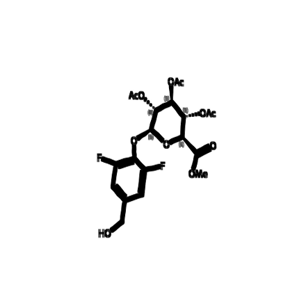 COC(=O)[C@H]1O[C@@H](Oc2c(F)cc(CO)cc2F)[C@H](OC(C)=O)[C@@H](OC(C)=O)[C@@H]1OC(C)=O